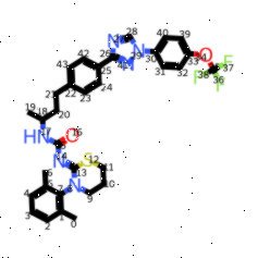 Cc1cccc(C)c1N1CCCS/C1=N\C(=O)NC(C)CCc1ccc(-c2ncn(-c3ccc(OC(F)(F)F)cc3)n2)cc1